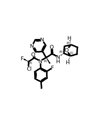 Cc1ccc(N(C(=O)[C@H](F)Cl)[C@@](C)(C(=O)N[C@@H]2C[C@H]3CC[C@@H]2O3)c2cncnc2)c(F)c1